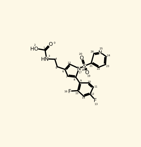 O=C(O)NCCc1cc(-c2ccc(F)cc2F)n(S(=O)(=O)c2cccnc2)c1